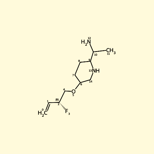 C=C[C@@H](F)COC1CCC(C(C)N)NC1